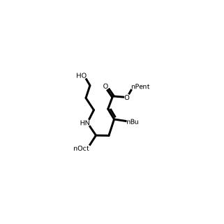 CCCCCCCCC(CC(=CC(=O)OCCCCC)CCCC)NCCCO